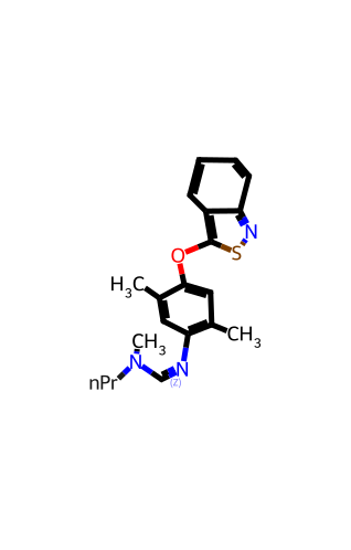 CCCN(C)/C=N\c1cc(C)c(Oc2snc3ccccc23)cc1C